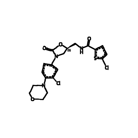 O=C(NC[C@H]1CN(c2ccc(N3CCOCC3)c(Cl)c2)C(=O)O1)c1ccc(Cl)s1